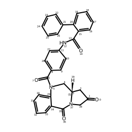 O=C1C[C@H]2CN(C(=O)c3ccc(NC(=O)c4ccccc4-c4ccccc4)cc3)c3ccccc3C(=O)N2C1